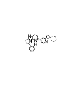 c1ccc(C2CCc3nc4c(n32)N[C@@H](c2ccnc(OC3CCCCC3)c2)CC4)cc1